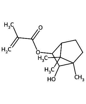 C=C(C)C(=O)OC1C2CCC(C)(C1O)C2(C)C